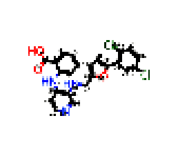 O=C(O)c1ccccc1Nc1ccncc1NCc1ccc(-c2cc(Cl)ccc2Cl)o1